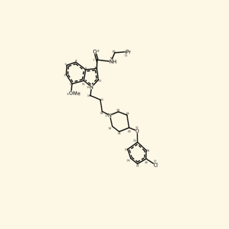 COc1cccc2c(C(=O)NCC(C)C)cn(CCCN3CCC(Oc4cccc(Cl)c4)CC3)c12